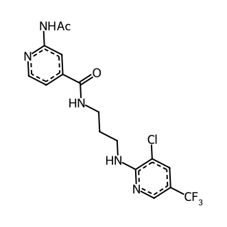 CC(=O)Nc1cc(C(=O)NCCCNc2ncc(C(F)(F)F)cc2Cl)ccn1